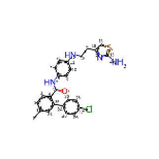 Cc1ccc(C(=O)Nc2ccc(NCCc3csc(N)n3)cc2)c(-c2ccc(Cl)cc2)c1